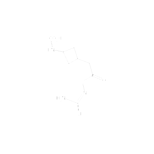 NC(=NOC(=O)CC1CC(NC(=O)O)C1)C(F)(F)F